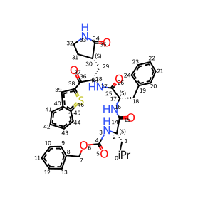 CC(C)C[C@H](NC(=O)OCc1ccccc1)C(=O)N[C@@H](Cc1ccccc1)C(=O)N[C@@H](C[C@@H]1CCNC1=O)C(=O)c1cc2ccccc2s1